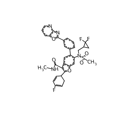 CNC(=O)c1c(C2C=CC(F)=CC2)oc2cc(N(CC3CC3(F)F)S(C)(=O)=O)c(-c3cccc(-c4nc5ncccc5o4)c3)cc12